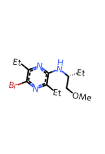 CCc1nc(N[C@H](CC)COC)c(CC)nc1Br